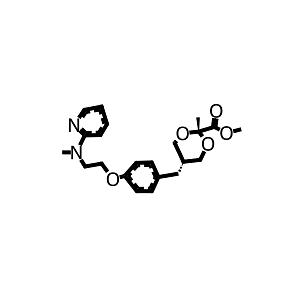 COC(=O)[C@]1(C)OC[C@H](Cc2ccc(OCCN(C)c3ccccn3)cc2)CO1